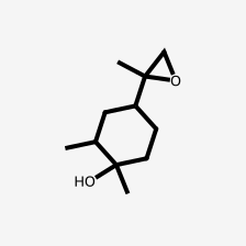 CC1CC(C2(C)CO2)CCC1(C)O